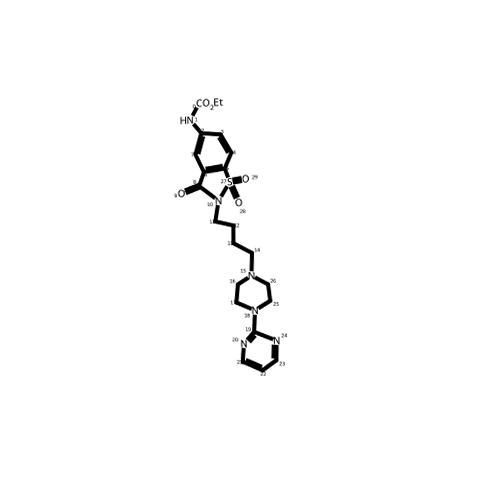 CCOC(=O)Nc1ccc2c(c1)C(=O)N(CCCCN1CCN(c3ncccn3)CC1)S2(=O)=O